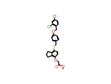 COC(=O)COc1ccc(SCc2ccc(OCc3ccc(Cl)cc3Cl)cc2)c2c1CCC2